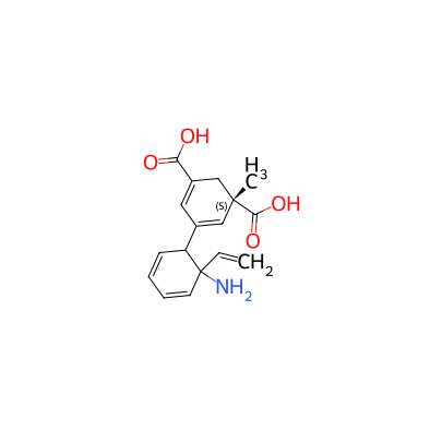 C=CC1(N)C=CC=CC1C1=C[C@@](C)(C(=O)O)CC(C(=O)O)=C1